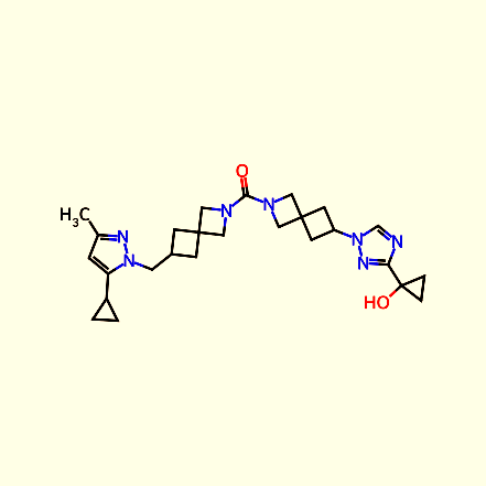 Cc1cc(C2CC2)n(CC2CC3(C2)CN(C(=O)N2CC4(CC(n5cnc(C6(O)CC6)n5)C4)C2)C3)n1